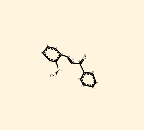 CCCSc1ccccc1/C=C/C(=O)c1ccccc1